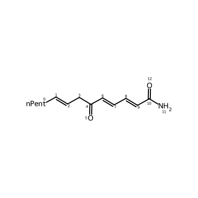 CCCCCC=CCC(=O)C=CC=CC(N)=O